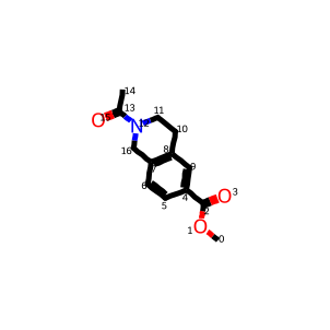 COC(=O)c1ccc2c(c1)CCN(C(C)=O)C2